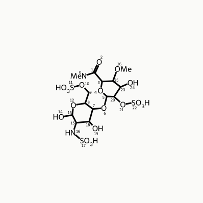 CNC(=O)C1OC(OC2C(COS(=O)(=O)O)OC(O)C(NS(=O)(=O)O)C2O)C(OS(=O)(=O)O)C(O)C1OC